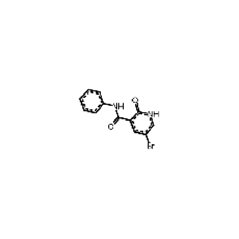 O=C(Nc1ccccc1)c1cc(Br)c[nH]c1=O